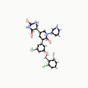 O=c1[nH]cc(-c2cc(-c3cc(Cl)cc(OCc4c(F)cccc4F)c3)c(=O)n(-c3cccnc3)c2)c(=O)[nH]1